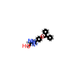 C[C@](N)(CO)c1ncc(-c2ccc(OCC(c3ccccc3)c3ccccc3)cc2)[nH]1